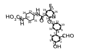 O=Cc1cc(O)ccc1-c1cccc(Oc2ncc(F)cc2C(=O)NC2CCC(NC(=O)O)CC2)c1